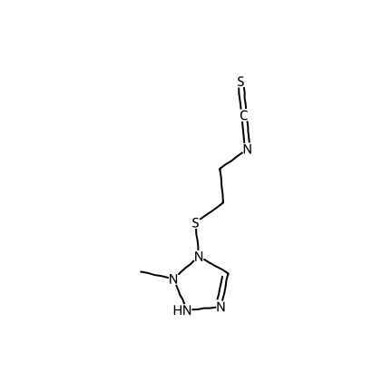 CN1NN=CN1SCCN=C=S